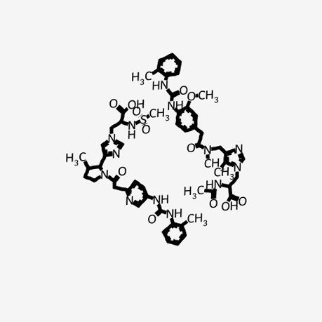 COc1cc(CC(=O)N(C)Cc2ncn(CC(NC(C)=O)C(=O)O)c2C)ccc1NC(=O)Nc1ccccc1C.Cc1ccccc1NC(=O)Nc1ccc(CC(=O)N2CCC(C)C2c2cn(CC(NS(C)(=O)=O)C(=O)O)cn2)nc1